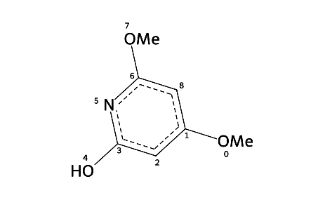 COc1cc(O)nc(OC)c1